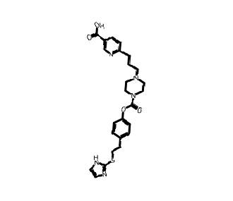 O=C(O)c1ccc(CCCN2CCN(C(=O)Oc3ccc(CCSc4ncc[nH]4)cc3)CC2)nc1